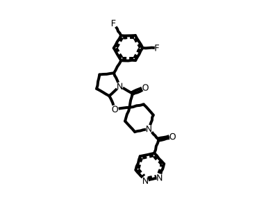 O=C(c1ccnnc1)N1CCC2(CC1)OC1CCC(c3cc(F)cc(F)c3)N1C2=O